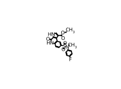 CCOC(=O)c1c[nH]c2c(=O)[nH]c3ccc(S(=O)(=O)N(C)c4ccc(F)cc4)cc3c12